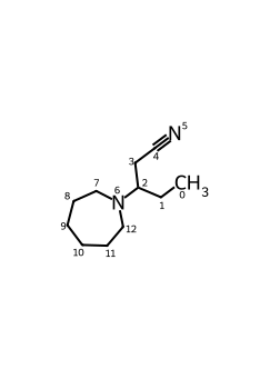 CCC(CC#N)N1CCCCCC1